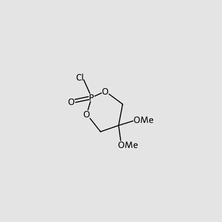 COC1(OC)COP(=O)(Cl)OC1